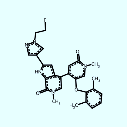 Cc1cccc(C)c1Oc1cn(C)c(=O)cc1-c1cn(C)c(=O)c2[nH]c(-c3cnn(CCF)c3)cc12